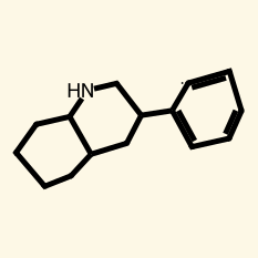 [c]1ccccc1C1CNC2CCCCC2C1